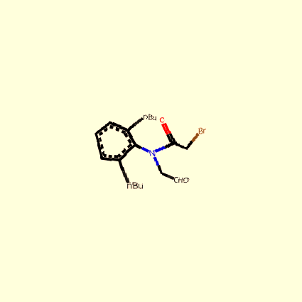 CCCCc1cccc(CCCC)c1N(CC=O)C(=O)CBr